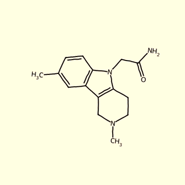 Cc1ccc2c(c1)c1c(n2CC(N)=O)CCN(C)C1